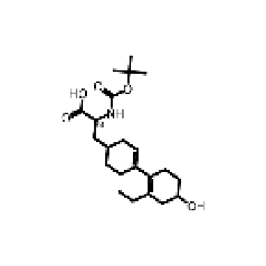 CCC1=C(C2=CCC(C[C@H](NC(=O)OC(C)(C)C)C(=O)O)CC2)CCC(O)C1